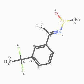 C/C(=N\[S+]([O-])C(C)(C)C)c1cccc(C(C)(F)F)c1